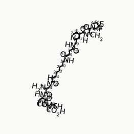 CC(NC(=O)c1ccnc(CNC(=O)CCC(=O)NCCCCCCCC(=O)NCC(N)C(=O)NC(CC(=O)O)C(=O)NC(CS)C(=O)O)c1)C(=O)N1CCC(F)(F)C1